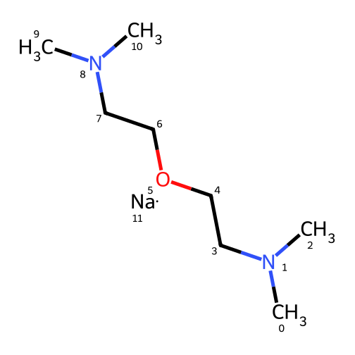 CN(C)CCOCCN(C)C.[Na]